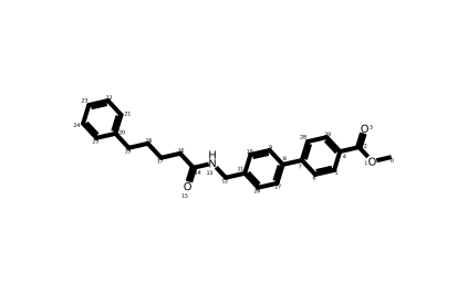 COC(=O)c1ccc(-c2ccc(CNC(=O)CCCCc3ccccc3)cc2)cc1